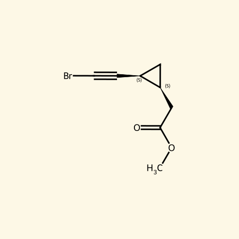 COC(=O)C[C@@H]1C[C@@H]1C#CBr